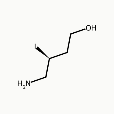 NC[C@@H](I)CCO